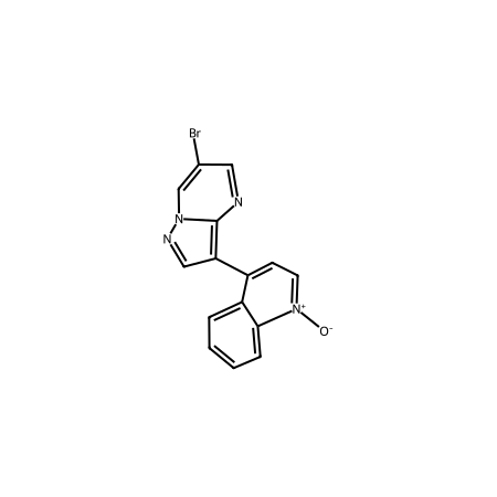 [O-][n+]1ccc(-c2cnn3cc(Br)cnc23)c2ccccc21